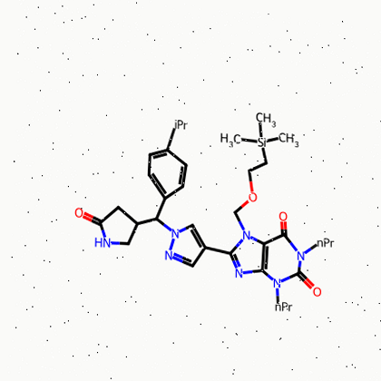 CCCn1c(=O)c2c(nc(-c3cnn(C(c4ccc(C(C)C)cc4)C4CNC(=O)C4)c3)n2COCC[Si](C)(C)C)n(CCC)c1=O